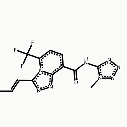 CC=Cc1nnc2c(C(=O)Nc3nnnn3C)ccc(C(F)(F)F)n12